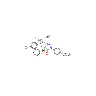 CC(C)(C)C[C@@H]1N2CN(c3ccc(C(=O)O)cc3F)C(=O)[C@H]2[C@H](c2cccc(Cl)c2F)[C@@]1(C#N)c1ccc(Cl)cc1F